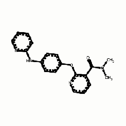 CN(C)C(=O)c1cccnc1Oc1ccc(Nc2ccccn2)cc1